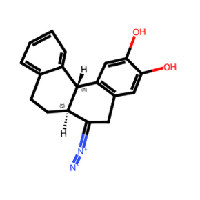 [N-]=[N+]=C1Cc2cc(O)c(O)cc2[C@H]2c3ccccc3CC[C@H]12